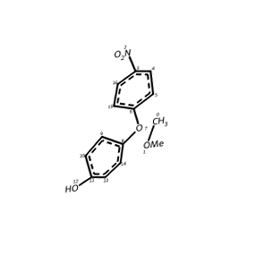 COC.O=[N+]([O-])c1ccc(Oc2ccc(O)cc2)cc1